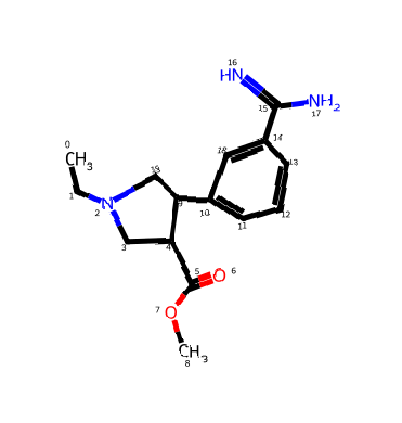 CCN1CC(C(=O)OC)C(c2cccc(C(=N)N)c2)C1